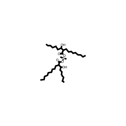 CCCCCCCCCC(C(=O)O[Si](C)(C)OC(=O)C(CCCCCCCCC)C(O)CCCCCC)C(O)CCCCCC